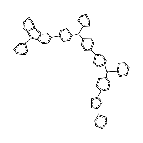 c1ccc(-c2ccc(-c3ccc(N(c4ccccc4)c4ccc(-c5ccc(N(c6ccccc6)c6ccc(-c7ccc8c(c7)c7ccccc7n8-c7ccccc7)cc6)cc5)cc4)cc3)s2)cc1